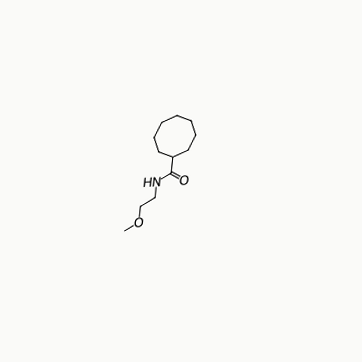 COCCNC(=O)C1CCCCCCC1